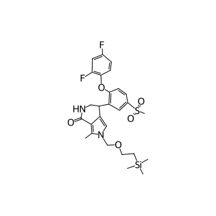 Cc1c2c(cn1COCC[Si](C)(C)C)C(c1cc(S(C)(=O)=O)ccc1Oc1ccc(F)cc1F)CNC2=O